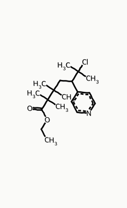 CCOC(=O)C(C)(C)C(C)(C)CC(c1ccncc1)C(C)(C)Cl